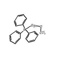 ClC(Cl)(Cl)[O][Zn][O][Si](c1ccccc1)(c1ccccc1)c1ccccc1